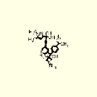 Cc1cc(C(C)(O)C#Cc2cncc(C(O)(c3ccc(C(C)C)cc3)C3(C)CN(C)C3)c2)nn1C